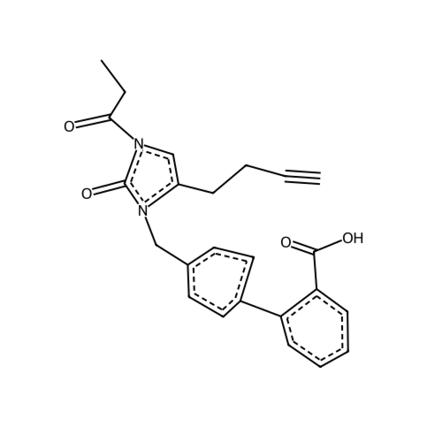 C#CCCc1cn(C(=O)CC)c(=O)n1Cc1ccc(-c2ccccc2C(=O)O)cc1